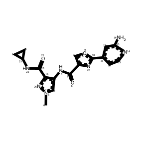 Cn1cc(NC(=O)c2coc(-c3ccnc(N)c3)n2)c(C(=O)NC2CC2)n1